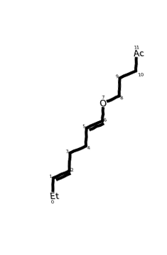 CCC=CCCC=COCCCC(C)=O